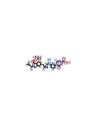 CNS(=O)(=O)c1cc(-c2sc(Nc3cccc(N4C(=O)CN(C(=O)O)C[C@H]4C)n3)nc2C)cc2c1C(=O)N(C(C)C1CC1)C2